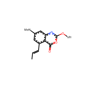 CC=Cc1cc(NC)cc2nc(OCCC)oc(=O)c12